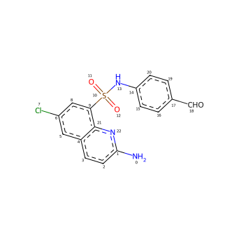 Nc1ccc2cc(Cl)cc(S(=O)(=O)Nc3ccc(C=O)cc3)c2n1